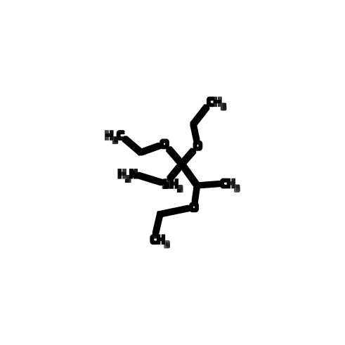 CCOC(C)C(OCC)(OCC)[SiH2]N